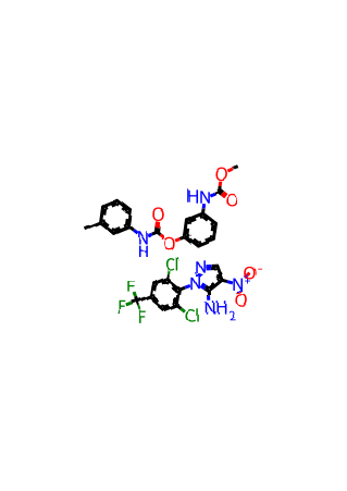 COC(=O)Nc1cccc(OC(=O)Nc2cccc(C)c2)c1.Nc1c([N+](=O)[O-])cnn1-c1c(Cl)cc(C(F)(F)F)cc1Cl